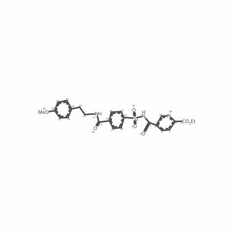 CCOC(=O)c1ccc(C(=O)NS(=O)(=O)c2ccc(C(=O)NCCc3ccc(OC)cc3)cc2)cn1